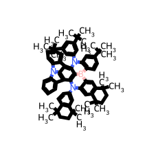 CC(C)(C)c1cc(N2c3cc(C(C)(C)C)ccc3B3c4cc5c(cc4N(c4ccc6c(c4)C(C)(C)CCC6(C)C)c4c3c2c2c3ccccc3n3c6ccccc6c4c23)C(C)(C)CCC5(C)C)cc(C(C)(C)C)c1